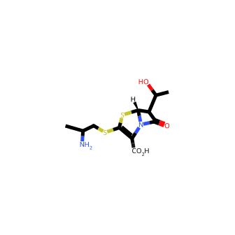 CC(N)CSC1=C(C(=O)O)N2C(=O)C(C(C)O)[C@H]2S1